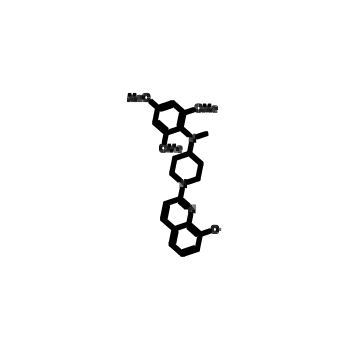 COc1cc(OC)c(N(C)C2CCN(c3ccc4cccc([O])c4n3)CC2)c(OC)c1